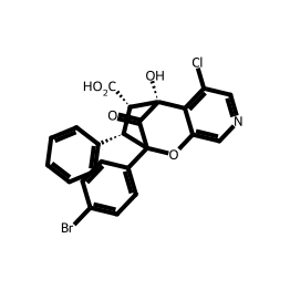 O=C(O)[C@H]1[C@@H](c2ccccc2)C2(c3ccc(Br)cc3)Oc3cncc(Cl)c3[C@@]1(O)C2=O